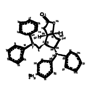 B.O=C1C[C@@H]2[C@@H](CP(c3ccccc3)c3ccccc3)[C@@H](P(c3ccccc3)c3ccccc3)C[C@@H]2O1